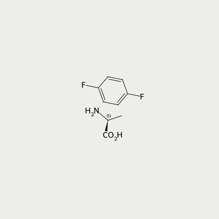 C[C@H](N)C(=O)O.Fc1ccc(F)cc1